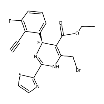 C#Cc1c(F)cccc1[C@@H]1N=C(c2nccs2)NC(CBr)=C1C(=O)OCC